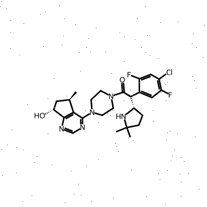 C[C@@H]1C[C@@H](O)c2ncnc(N3CCN(C(=O)C(c4cc(F)c(Cl)cc4F)[C@@H]4CCC(C)(C)N4)CC3)c21